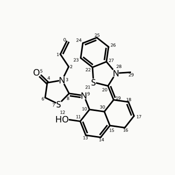 C=CCN1C(=O)CSC1=NC1C(O)=CC=C2CC=CC(=C3Sc4ccccc4N3C)C21